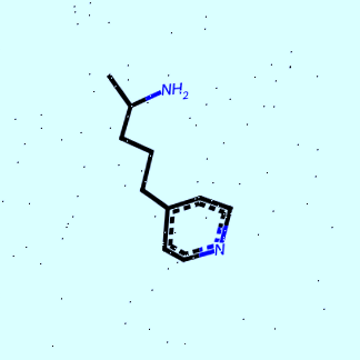 CC(N)CCCc1ccncc1